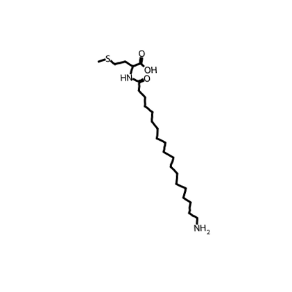 CSCCC(NC(=O)CCCCCCCCCCCCCCCCCCN)C(=O)O